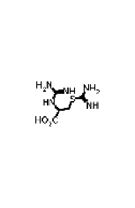 N=C(N)N[C@@H](CSC(=N)N)C(=O)O